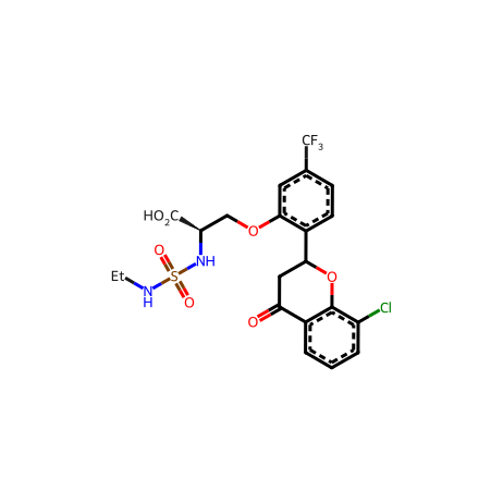 CCNS(=O)(=O)N[C@H](COc1cc(C(F)(F)F)ccc1C1CC(=O)c2cccc(Cl)c2O1)C(=O)O